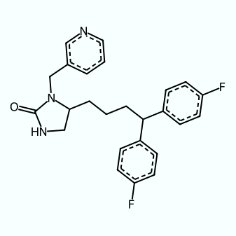 O=C1NCC(CCCC(c2ccc(F)cc2)c2ccc(F)cc2)N1Cc1cccnc1